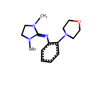 CCCCN1CCN(C)C1=Nc1ccccc1N1CCOCC1